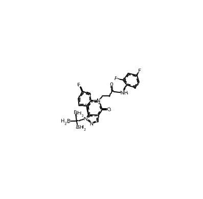 BC(B)(B)n1ncc2c(=O)n(CCC(=O)Nc3ccc(F)cc3F)c3cc(F)ccc3c21